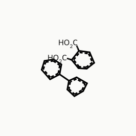 O=C(O)c1ccccc1C(=O)O.c1ccc(-c2ccccc2)cc1